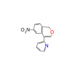 O=[N+]([O-])c1ccc2c(c1)C(c1ccccn1)=COC2